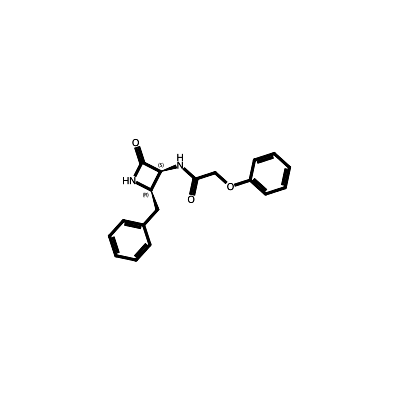 O=C(COc1ccccc1)N[C@@H]1C(=O)N[C@@H]1Cc1ccccc1